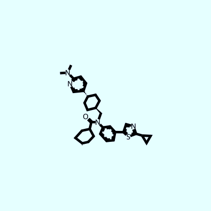 CN(C)c1ccc([C@H]2CC[C@H](CN(C(=O)C3CC[CH]CC3)c3cccc(-c4cnc(C5CC5)s4)c3)CC2)cn1